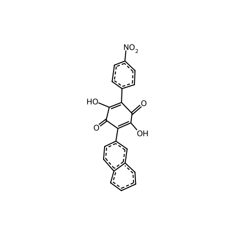 O=C1C(O)=C(c2ccc3ccccc3c2)C(=O)C(O)=C1c1ccc([N+](=O)[O-])cc1